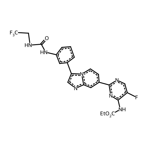 CCOC(=O)Nc1nc(-c2ccn3c(-c4cccc(NC(=O)NCC(F)(F)F)c4)cnc3c2)ncc1F